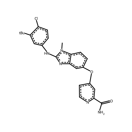 Cn1c(Nc2ccc(Cl)c(C(C)(C)C)c2)nc2cc(Oc3ccnc(C(N)=O)c3)ccc21